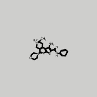 CC1(C)Cc2c(c(N3CCOCC3)nc3sc(C(=O)NC4=CCCC=C4)c(N)c23)CO1